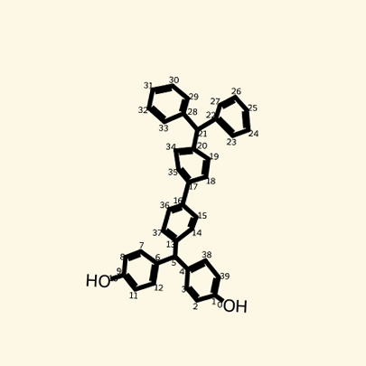 Oc1ccc(C(c2ccc(O)cc2)c2ccc(-c3ccc(C(c4ccccc4)c4ccccc4)cc3)cc2)cc1